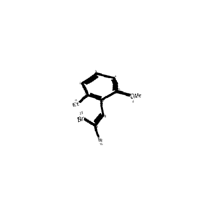 CCc1cccc(OC)c1C=C(Br)Br